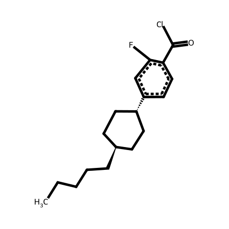 CCCCC[C@H]1CC[C@H](c2ccc(C(=O)Cl)c(F)c2)CC1